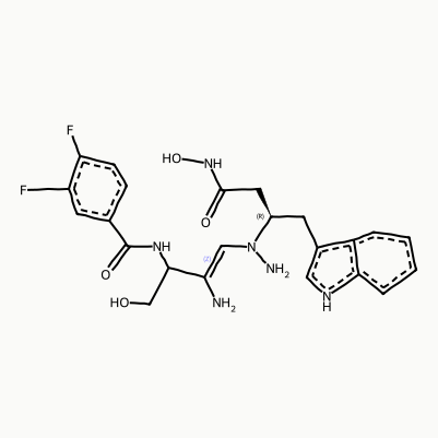 N/C(=C\N(N)[C@@H](CC(=O)NO)Cc1c[nH]c2ccccc12)C(CO)NC(=O)c1ccc(F)c(F)c1